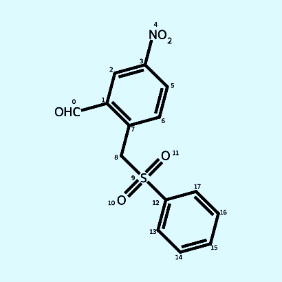 O=Cc1cc([N+](=O)[O-])ccc1CS(=O)(=O)c1ccccc1